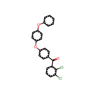 O=C(c1ccc(Oc2ccc(Oc3ccccc3)cc2)cc1)c1cccc(Cl)c1Cl